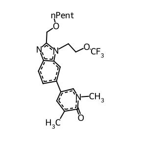 CCCCCOCc1nc2ccc(-c3cc(C)c(=O)n(C)c3)cc2n1CCOC(F)(F)F